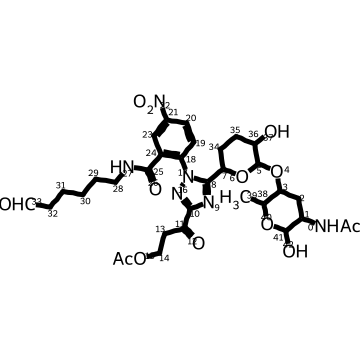 CC(=O)NC1CC(OC2OC(c3nc(C(=O)CCOC(C)=O)nn3-c3ccc([N+](=O)[O-])cc3C(=O)NCCCCCC=O)CCC2O)C(C)OC1O